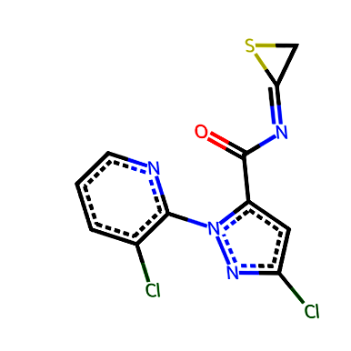 O=C(/N=C1/CS1)c1cc(Cl)nn1-c1ncccc1Cl